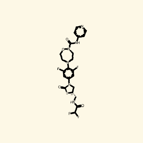 O=C(NC[C@H]1CN(c2cc(F)c(N3CCON(C(=O)Nc4ccncc4)CC3)c(F)c2)C(=O)O1)C(F)F